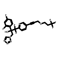 OC(Cn1cnnn1)(c1ccc(F)cc1F)C(F)(F)c1ccc(C#CCOCCC(F)(F)F)cn1